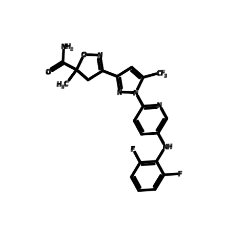 CC1(C(N)=O)CC(c2cc(C(F)(F)F)n(-c3ccc(Nc4c(F)cccc4F)cn3)n2)=NO1